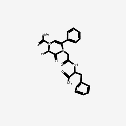 COC(=O)N1C=C(c2ccccc2)N(CC(=O)NC(Cc2ccccc2)C(=O)C(F)(F)F)C(=O)C1C(C)C